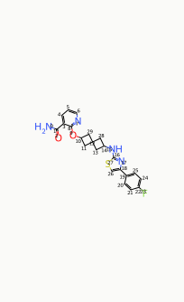 NC(=O)c1cccnc1OC1CC2(CC(Nc3nc(-c4ccc(F)cc4)cs3)C2)C1